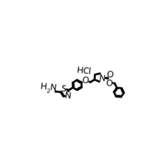 Cl.NCc1cnc(-c2ccc(OCC3CCN(C(=O)OCc4ccccc4)C3)cc2)s1